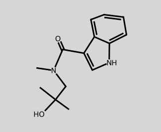 CN(CC(C)(C)O)C(=O)c1c[nH]c2ccccc12